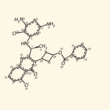 C[C@H](Nc1nc(N)nc(N)c1Cl)c1nc2cccc(Cl)c2c(=O)n1C1CC(OC(=O)c2ccccc2)C1